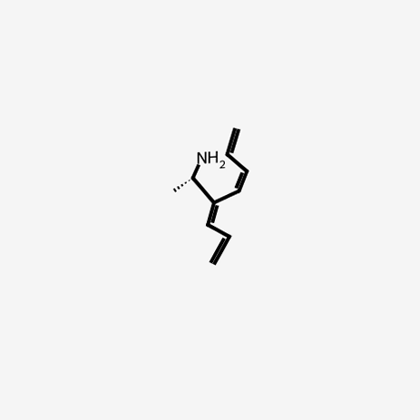 C=C/C=C\C(=C/C=C)[C@H](C)N